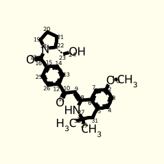 COc1ccc2c(c1)/C(=C/C(=O)c1ccc(C(=O)N3CCC[C@@H]3CO)cc1)NC(C)(C)C2